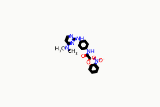 CN(C)c1ccnc(N[C@H]2CC[C@@H](NC(=O)COc3ccccc3[N+](=O)[O-])CC2)n1